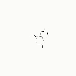 CC=C1CCC(=O)Nc2ccc(C)cc21